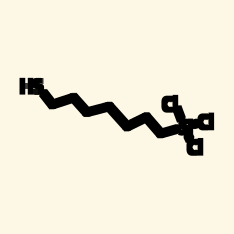 SCCCCCCC[Si](Cl)(Cl)Cl